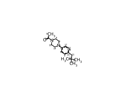 CC(=O)N1CCN(c2ccc(CC(C)(C)C)nc2)CC1